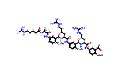 COc1ccc(NC(=O)[C@H](CCCNC(=N)N)NC(=O)c2cc(NC(=O)[C@H](CCCCNC(=N)N)NC(=O)c3cc(NC(=O)[C@H](C)NC(=O)CCCCNC(=N)N)ccc3OC)ccc2OC)cc1C(N)=O